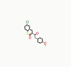 COc1ccc(CC(=O)c2cc3cc(Cl)ccc3sc2=O)cc1